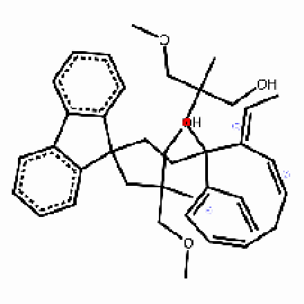 C=C/C1=C\C=CC/C=C\C(=C/C)C1(CCC1(CC(C)(CO)COC)c2ccccc2-c2ccccc21)CC(C)(CO)COC